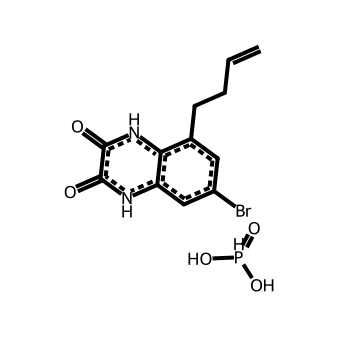 C=CCCc1cc(Br)cc2[nH]c(=O)c(=O)[nH]c12.O=[PH](O)O